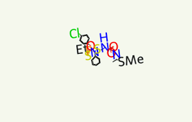 CCP(=S)(Oc1ccc(Cl)cc1)N(SCNC(=O)ON=C(C)SC)c1ccccc1